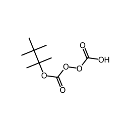 CC(C)(C)C(C)(C)OC(=O)OOC(=O)O